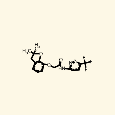 CC1(C)Cc2cccc(OCC(=O)Nc3ccc(C(F)(F)F)nn3)c2O1